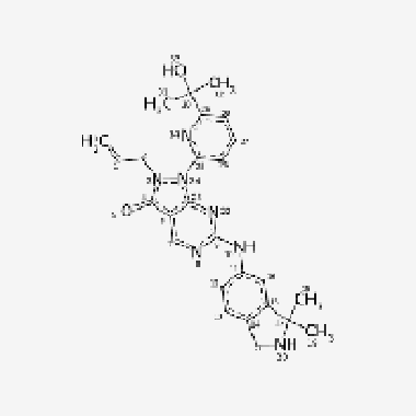 C=CCn1c(=O)c2cnc(Nc3ccc4c(c3)C(C)(C)NC4)nc2n1-c1cccc(C(C)(C)O)n1